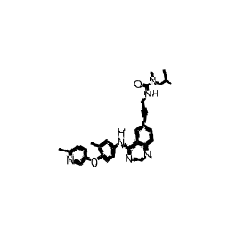 Cc1ccc(Oc2ccc(Nc3ncnc4ccc(C#CCNC(=O)N(C)CC(C)C)cc34)cc2C)cn1